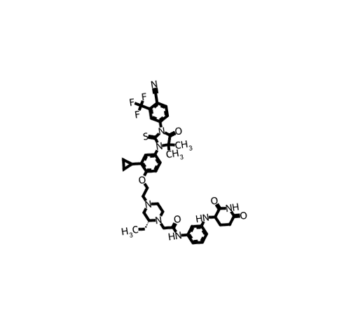 CC[C@@H]1CN(CCOc2ccc(N3C(=S)N(c4ccc(C#N)c(C(F)(F)F)c4)C(=O)C3(C)C)cc2C2CC2)CCN1CC(=O)Nc1cccc(NC2CCC(=O)NC2=O)c1